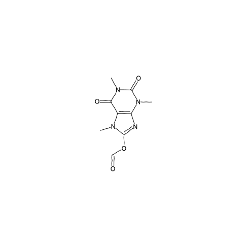 Cn1c(=O)c2c(nc(OC=O)n2C)n(C)c1=O